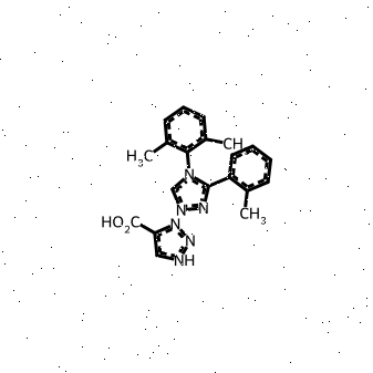 Cc1ccccc1-c1nncn1-c1c(C)cccc1C.O=C(O)c1c[nH]nn1